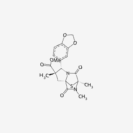 COC(=O)[C@@]1(C)C[C@@]23S[C@@](C)(C(=O)N2[C@H]1c1ccc2c(c1)OCO2)N(C)C3=O